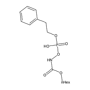 CCCCCCOC(=O)NOP(=O)(O)OCCc1ccccc1